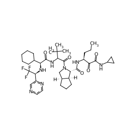 CCC[C@H](NC(=O)[C@@H]1[C@H]2CCC[C@H]2CN1C(=O)C(NC(=O)[C@@H](N[C@@H](c1cnccn1)C(F)(F)F)C1CCCCC1)C(C)(C)C)C(=O)C(=O)NC1CC1